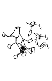 C[SiH2]O[SiH2]O[SiH3].ClC1=C(Cl)C2(Cl)C3C(Cl)C=CC3C1(Cl)C2(Cl)Cl